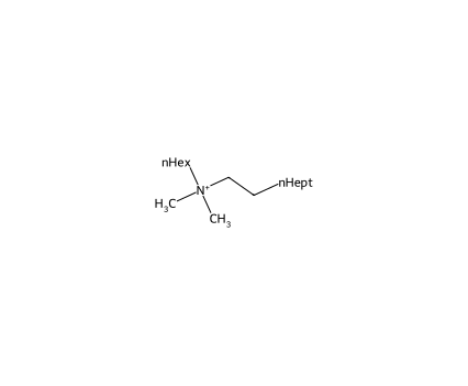 CCCCCCCCC[N+](C)(C)CCCCCC